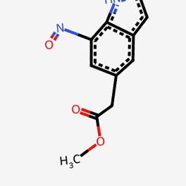 COC(=O)Cc1cc(N=O)c2[nH]ccc2c1